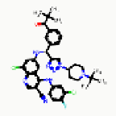 CC(C)(C)C(=O)c1cccc([C@H](Nc2cc(Cl)c3ncc(C#N)c(Nc4ccc(F)c(Cl)c4)c3c2)c2cn(C3CCN(C(C)(C)C)CC3)nn2)c1